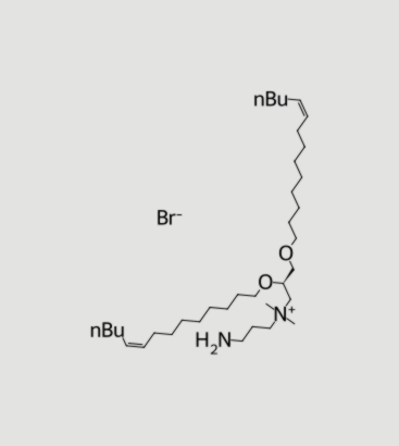 CCCC/C=C\CCCCCCCCOC[C@@H](C[N+](C)(C)CCCN)OCCCCCCCC/C=C\CCCC.[Br-]